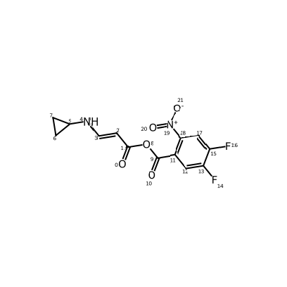 O=C(C=CNC1CC1)OC(=O)c1cc(F)c(F)cc1[N+](=O)[O-]